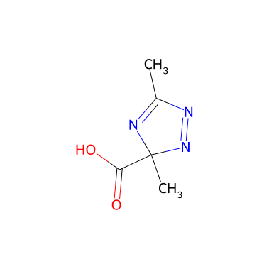 CC1=NC(C)(C(=O)O)N=N1